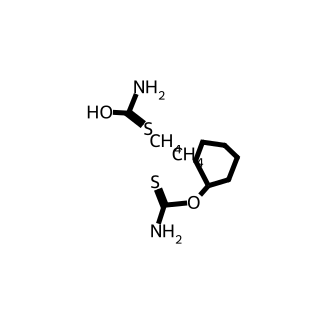 C.C.NC(=S)OC1CCCCC1.NC(O)=S